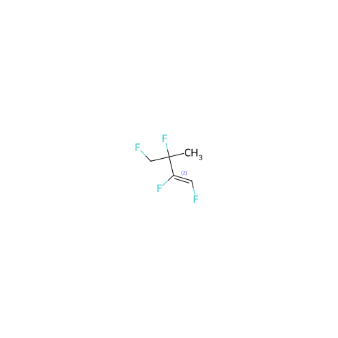 CC(F)(CF)/C(F)=C/F